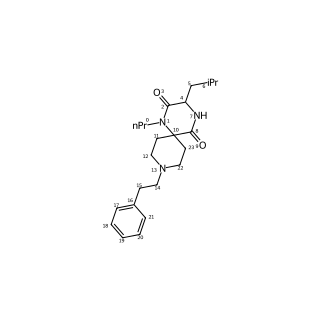 CCCN1C(=O)C(CC(C)C)NC(=O)C12CCN(CCc1ccccc1)CC2